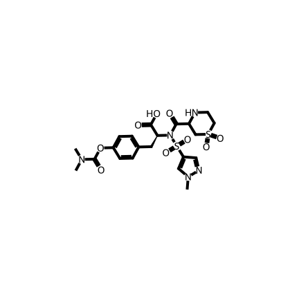 CN(C)C(=O)Oc1ccc(C[C@@H](C(=O)O)N(C(=O)C2CS(=O)(=O)CCN2)S(=O)(=O)c2cnn(C)c2)cc1